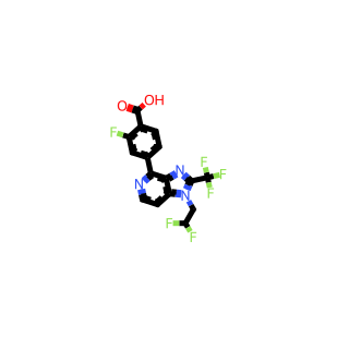 O=C(O)c1ccc(-c2nccc3c2nc(C(F)(F)F)n3CC(F)F)cc1F